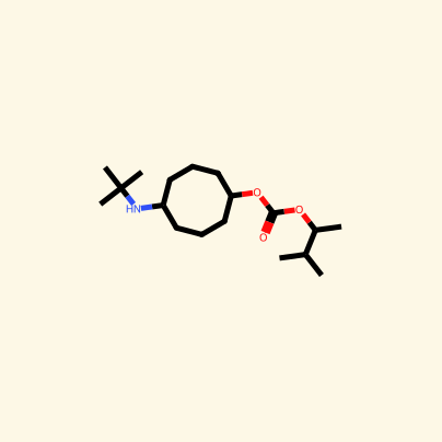 CC(C)C(C)OC(=O)OC1CCCC(NC(C)(C)C)CCC1